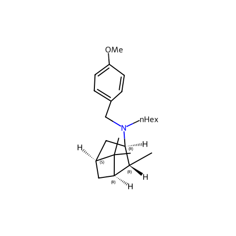 CCCCCCN(Cc1ccc(OC)cc1)[C@@H]1C[C@@H]2C[C@H]([C@H]1C)C2(C)C